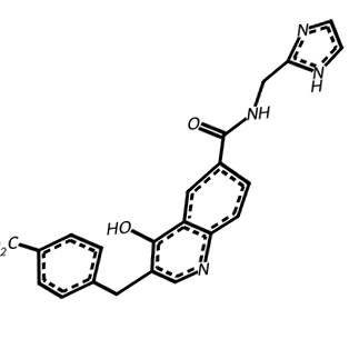 O=C(O)c1ccc(Cc2cnc3ccc(C(=O)NCc4ncc[nH]4)cc3c2O)cc1